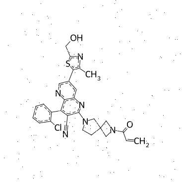 C=CC(=O)N1CC2(CCN(c3nc4cc(-c5sc(CO)nc5C)cnc4c(-c4ccccc4Cl)c3C#N)C2)C1